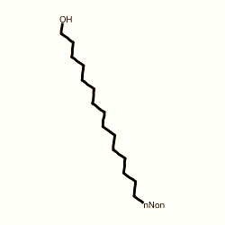 CCCCCCCCCCCCCCCCCCCCCCCCO